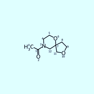 CC(=O)N1CCOC2(CCOC2)C1